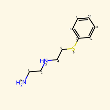 NCCNCCSc1ccccc1